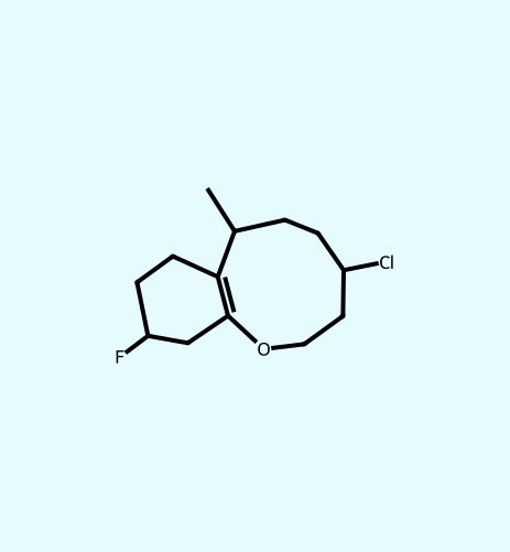 CC1CCC(Cl)CCOC2=C1CCC(F)C2